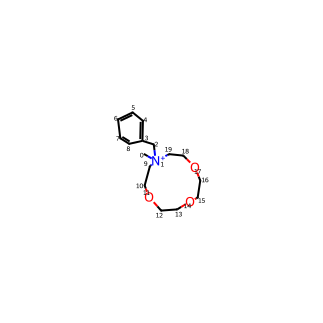 C[N+]1(Cc2ccccc2)CCOCCOCCOCC1